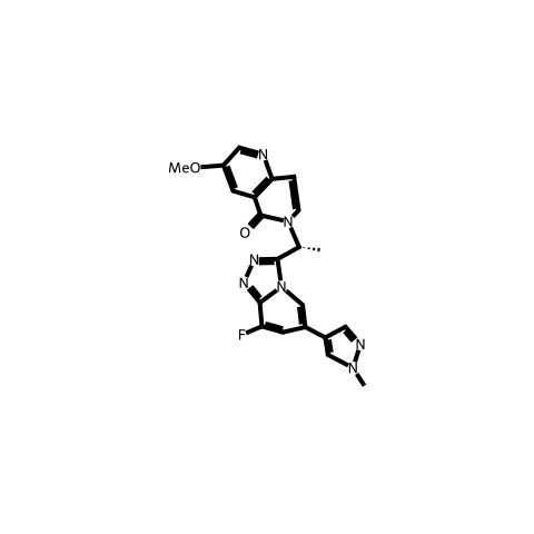 COc1cnc2ccn([C@H](C)c3nnc4c(F)cc(-c5cnn(C)c5)cn34)c(=O)c2c1